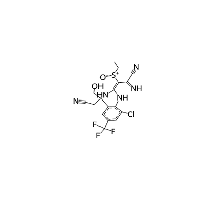 CC[S+]([O-])/C(C(=N)C#N)=C1/Nc2c(Cl)cc(C(F)(F)F)cc2C(CO)(CC#N)N1